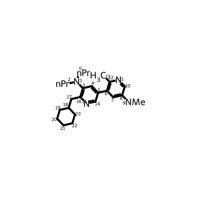 CCCN(CCC)c1cc(-c2cc(NC)cnc2C)cnc1CC1CCCCC1